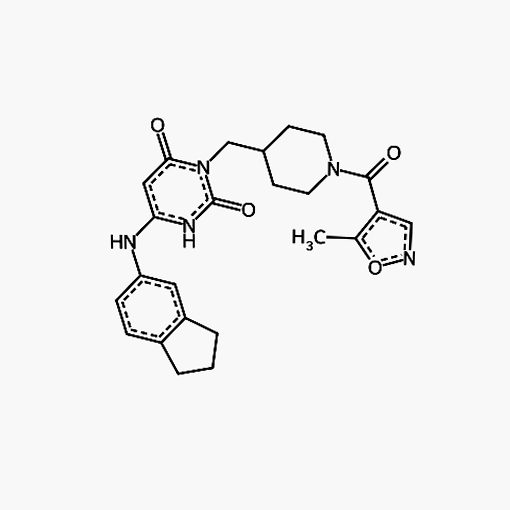 Cc1oncc1C(=O)N1CCC(Cn2c(=O)cc(Nc3ccc4c(c3)CCC4)[nH]c2=O)CC1